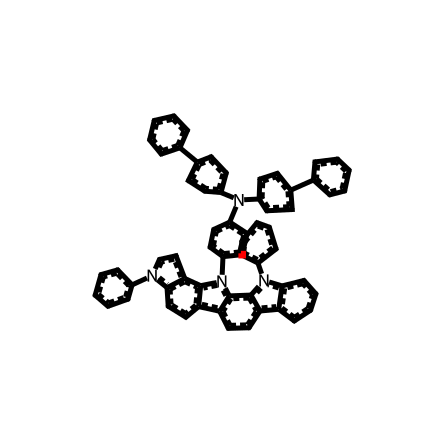 c1ccc(-c2ccc(N(c3ccc(-c4ccccc4)cc3)c3ccc(-n4c5c(ccc6c5ccn6-c5ccccc5)c5ccc6c7ccccc7n(-c7ccccc7)c6c54)cc3)cc2)cc1